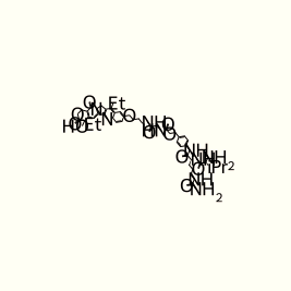 CCc1c2c(nc3ccc(OCCCNC(=O)CNC(=O)OCc4ccc(NC(=O)[C@H](CCCNC(N)=O)NC(=O)[C@@H](N)C(C)C)cc4)cc13)-c1cc3c(c(=O)n1C2)COC(=O)[C@]3(O)CC